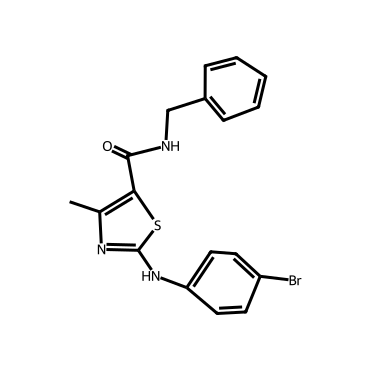 Cc1nc(Nc2ccc(Br)cc2)sc1C(=O)NCc1ccccc1